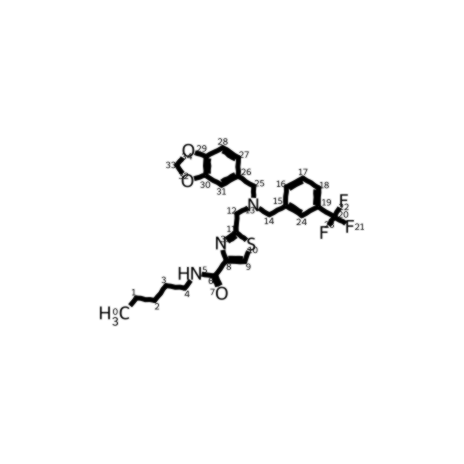 CCCCCNC(=O)c1csc(CN(Cc2cccc(C(F)(F)F)c2)Cc2ccc3c(c2)OCO3)n1